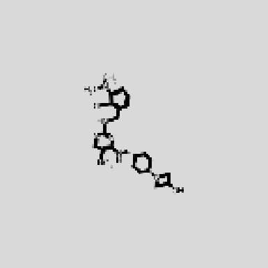 CN(C)c1cccc(CNc2ncc([N+](=O)[O-])c(NC[C@H]3CC[C@H](N4CC(O)C4)CC3)n2)c1Cl